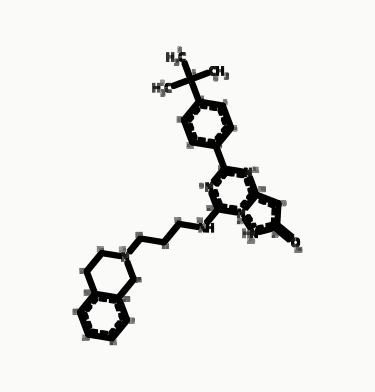 CC(C)(C)c1ccc(-c2nc(NCCCN3CCc4ccccc4C3)n3[nH]c(=O)cc3n2)cc1